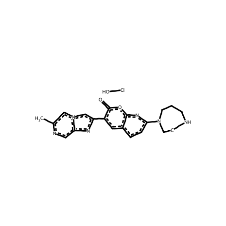 Cc1cn2cc(-c3cc4ccc(N5CCCNCC5)nc4oc3=O)nc2cn1.OCl